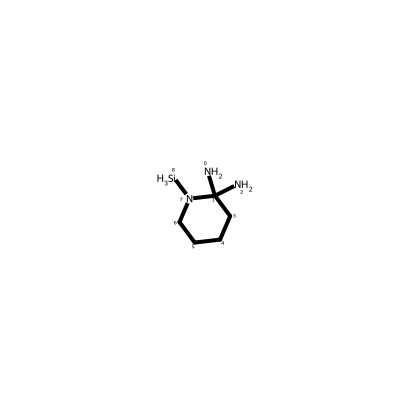 NC1(N)CCCCN1[SiH3]